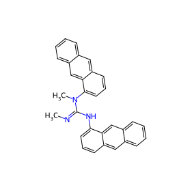 CN=C(Nc1cccc2cc3ccccc3cc12)N(C)c1cccc2cc3ccccc3cc12